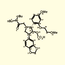 CCCCN(CCCC)C(=O)CN1C[C@H](c2ccc3c(c2)OCO3)[C@H](OC(=O)O)[C@H]1c1ccc(OC)cc1OCCOC